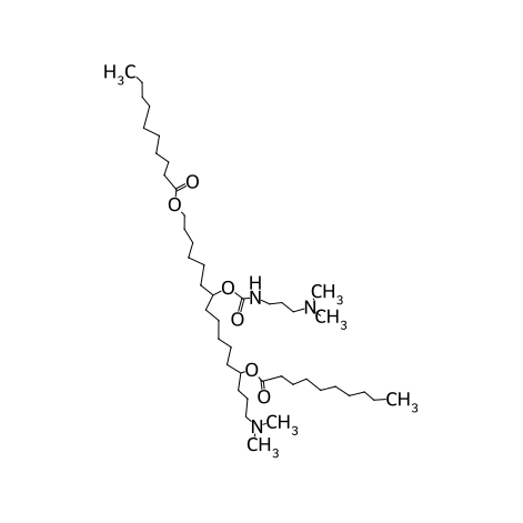 CCCCCCCCCC(=O)OCCCCCCC(CCCCCC(CCCN(C)C)OC(=O)CCCCCCCCC)OC(=O)NCCCN(C)C